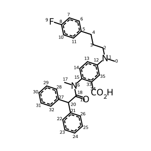 CN(CCCc1ccc(F)cc1)c1ccc(N(C)C(=O)C(c2ccccc2)c2ccccc2)c(C(=O)O)c1